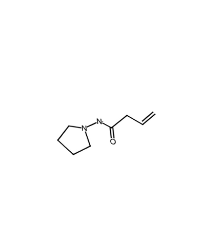 C=CCC(=O)[N]N1CCCC1